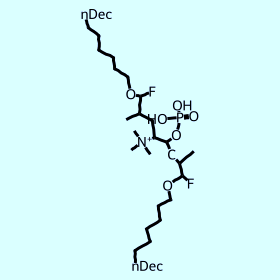 CCCCCCCCCCCCCCCCOC(F)C(C)CC(OP(=O)(O)O)C(CC(C)C(F)OCCCCCCCCCCCCCCCC)[N+](C)(C)C